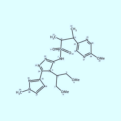 COCC(COC)n1c(NS(=O)(=O)C(C)C(C)c2cnc(OC)cn2)nnc1-c1ccn(C)n1